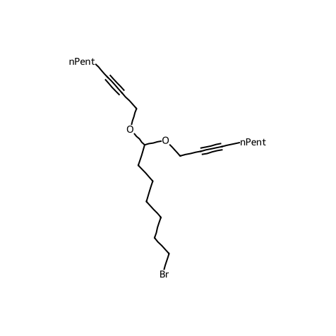 CCCCCC#CCOC(CCCCCCBr)OCC#CCCCCC